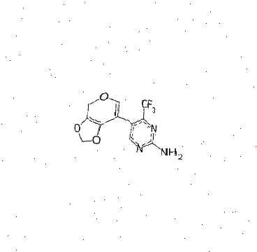 Nc1ncc(C2=COCC3=C2OCO3)c(C(F)(F)F)n1